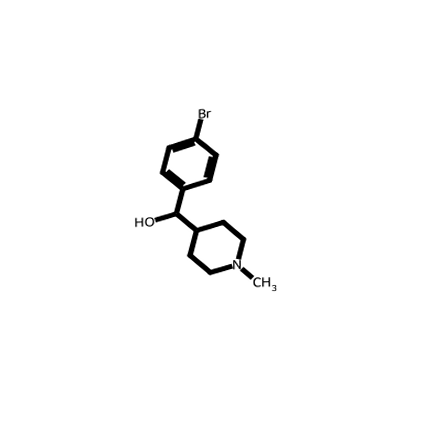 CN1CCC(C(O)c2ccc(Br)cc2)CC1